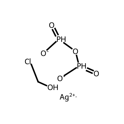 O=[PH]([O-])O[PH](=O)[O-].OCCl.[Ag+2]